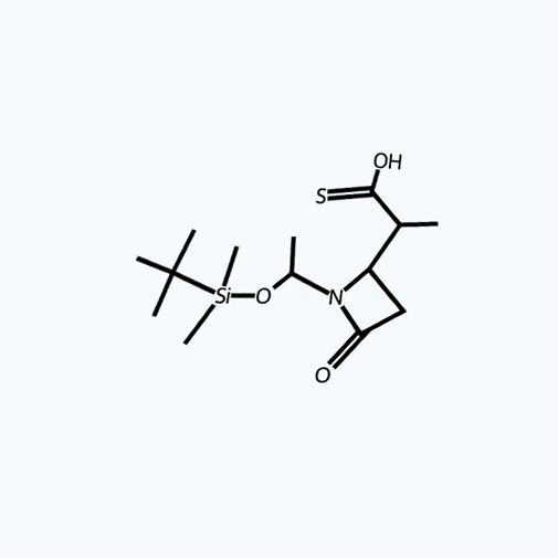 CC(C(O)=S)C1CC(=O)N1C(C)O[Si](C)(C)C(C)(C)C